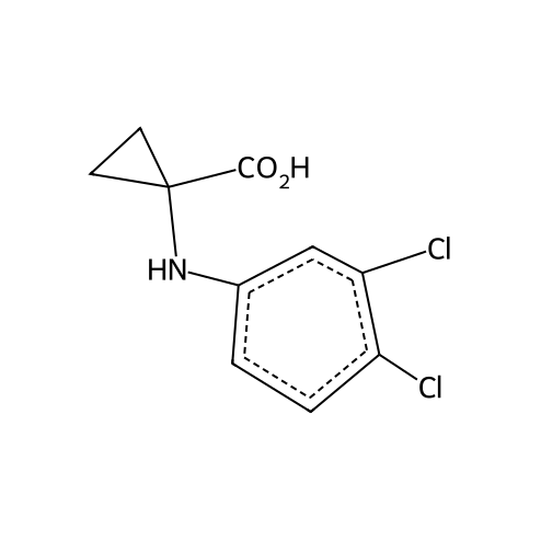 O=C(O)C1(Nc2ccc(Cl)c(Cl)c2)CC1